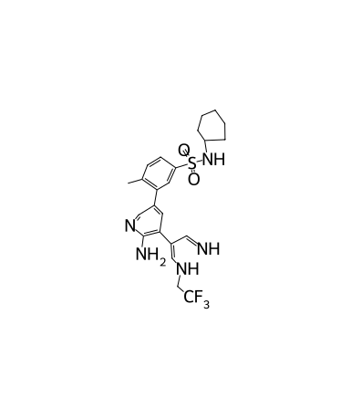 Cc1ccc(S(=O)(=O)NC2CCCCC2)cc1-c1cnc(N)c(/C(C=N)=C/NCC(F)(F)F)c1